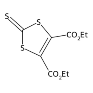 CCOC(=O)c1sc(=S)sc1C(=O)OCC